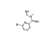 CN(C=N)C(=N)c1cccc(Br)n1